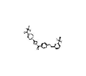 O=C(c1ccc(SCc2cccc(C(F)(F)F)c2)cc1)N1CC(N2CCN(C(=O)C(F)(F)F)CC2)C1